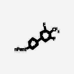 CCCCCc1ccc(-c2cc(F)c(C(F)(F)F)c(F)c2)cc1